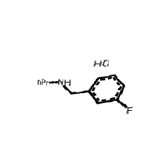 CCCNCc1cccc(F)c1.Cl